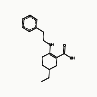 CCC1CCC(NCCc2ccccc2)=C(C(=O)O)C1